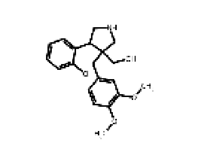 COc1ccc(CC2(CO)CNCC2c2ccccc2Cl)cc1OC